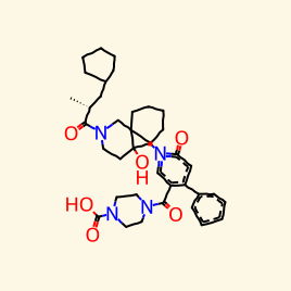 C[C@H](CC1CCCCC1)C(=O)N1CCC(O)(Cn2cc(C(=O)N3CCN(C(=O)O)CC3)c(-c3ccccc3)cc2=O)C2(CCCCC2)C1